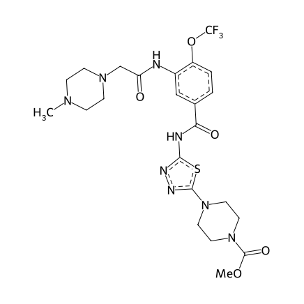 COC(=O)N1CCN(c2nnc(NC(=O)c3ccc(OC(F)(F)F)c(NC(=O)CN4CCN(C)CC4)c3)s2)CC1